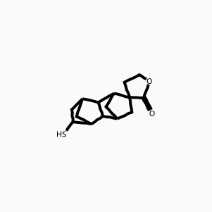 O=C1OCCC12CC1CC2C2C3CC(S)C(C3)C12